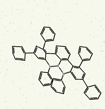 c1ccc(-c2cc(-c3ccccc3)c3c(c2)N(c2ccccc2)B2c4c-3cccc4-c3c(-c4ccccc4)cc(-c4ccccc4)cc3N2c2ccccc2)cc1